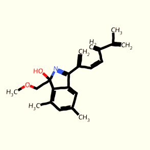 C=C(C)C(=C)/C=C\C(=C)C1=NC(O)(COC)c2c(C)cc(C)cc21